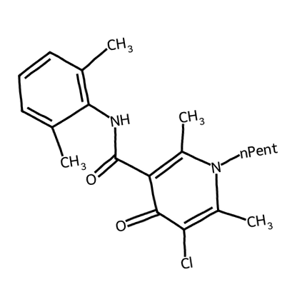 CCCCCn1c(C)c(Cl)c(=O)c(C(=O)Nc2c(C)cccc2C)c1C